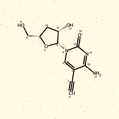 C#Cc1cn([C@@H]2O[C@H](CO)C[C@@H]2O)c(=O)nc1N